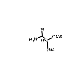 CCCC[SiH](OC)C(N)CC